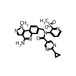 Cn1ncc2c(N)nc3cc(CN(C(=O)c4cnc(C5CC5)nc4)c4cccnc4S(C)(=O)=O)ccc3c21